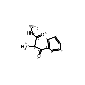 CC(C(=O)NN)C(=O)c1ccccc1